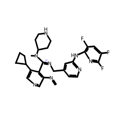 C=Nc1cncc(C2CCC2)c1/C(=N\Cc1ccnc(Nc2nc(F)c(F)cc2F)c1)N(C)C1CCNCC1